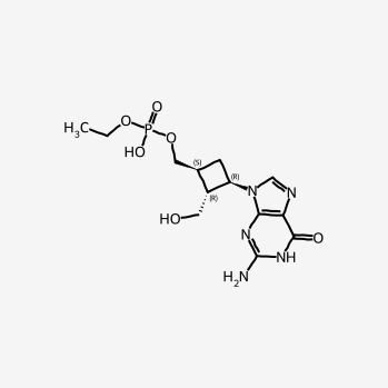 CCOP(=O)(O)OC[C@H]1C[C@@H](n2cnc3c(=O)[nH]c(N)nc32)[C@@H]1CO